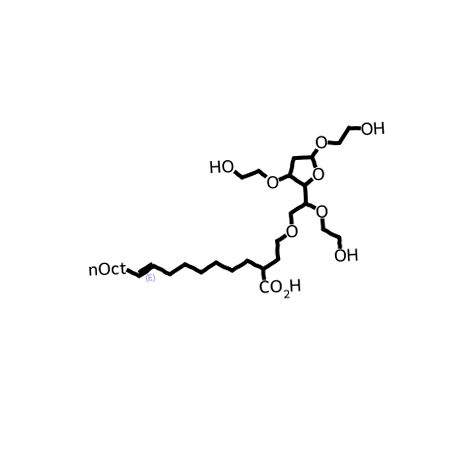 CCCCCCCC/C=C/CCCCCCC(CCOCC(OCCO)C1OC(OCCO)CC1OCCO)C(=O)O